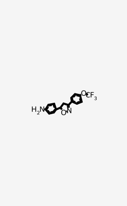 Nc1ccc(C2CC(c3ccc(OC(F)(F)F)cc3)=NO2)cc1